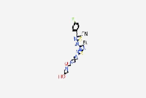 CCc1nc2sc(N3CC4(CN(CC(=O)N5CC(O)C5)C4)C3)nn2c1N(C)c1nc(-c2ccc(F)cc2)c(C#N)s1